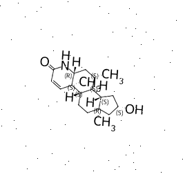 C[C@H]1C[C@H]2NC(=O)C=C[C@]2(C)[C@H]2CC[C@]3(C)C[C@@H](O)C[C@H]3[C@H]12